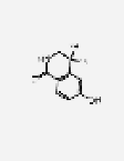 [2H]C1([2H])CNC(=O)c2ccc(O)cc21